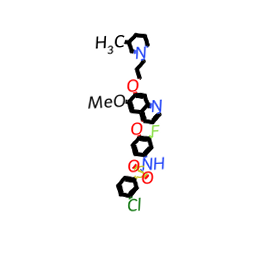 COc1cc2c(Oc3ccc(NS(=O)(=O)c4cccc(Cl)c4)cc3F)ccnc2cc1OCCCN1CCCC(C)C1